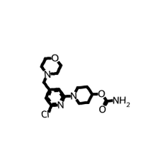 NC(=O)OC1CCN(c2cc(CN3CCOCC3)cc(Cl)n2)CC1